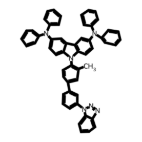 Cc1cc(-c2cccc(-n3nnc4ccccc43)c2)ccc1-n1c2ccc(N(c3ccccc3)c3ccccc3)cc2c2cc(N(c3ccccc3)c3ccccc3)ccc21